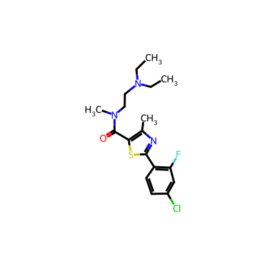 CCN(CC)CCN(C)C(=O)c1sc(-c2ccc(Cl)cc2F)nc1C